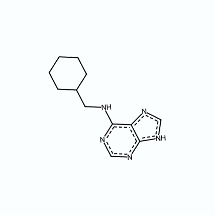 c1nc(NCC2CCCCC2)c2nc[nH]c2n1